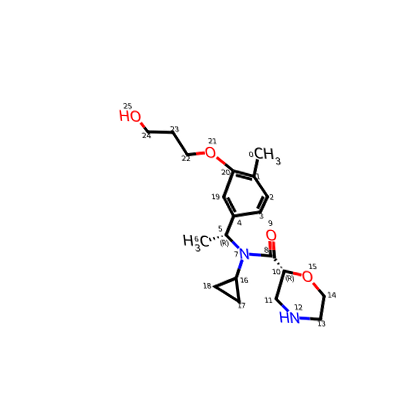 Cc1ccc([C@@H](C)N(C(=O)[C@H]2CNCCO2)C2CC2)cc1OCCCO